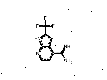 N=C(N)c1ccnc2[nH]c(C(F)(F)F)cc12